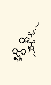 CCCCCOC(=O)C[C@@H](Cc1ccccc1)NC(=O)c1cc(CCC)n(Cc2ccc(-c3ccccc3-c3nnn[nH]3)nc2)n1